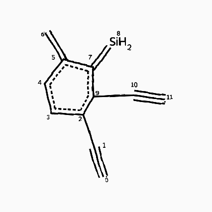 [C]#Cc1ccc(=C)c(=[SiH2])c1C#[C]